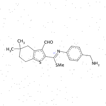 CS/C(=N\c1ccc(CN)cc1)c1sc2c(c1C=O)CC(C)(C)CC2